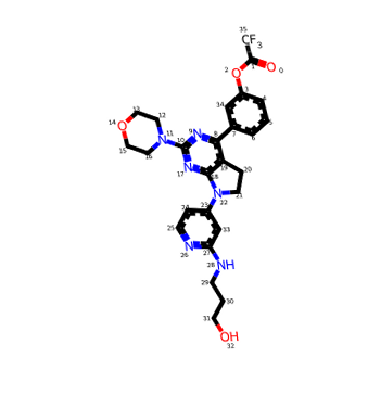 O=C(Oc1cccc(-c2nc(N3CCOCC3)nc3c2CCN3c2ccnc(NCCCO)c2)c1)C(F)(F)F